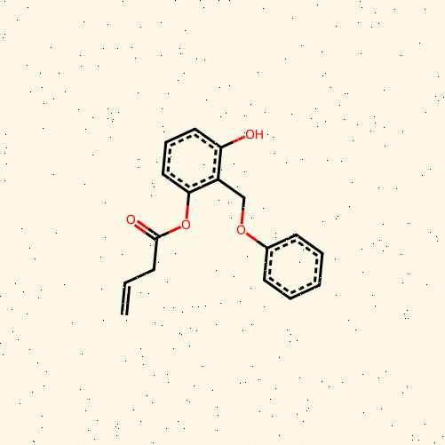 C=CCC(=O)Oc1cccc(O)c1COc1ccccc1